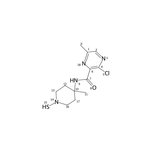 Cc1cnc(Cl)c(C(=O)NC2(C)CCN(S)CC2)n1